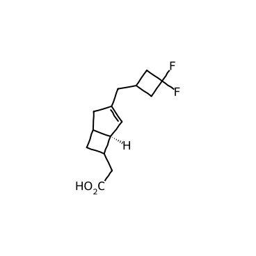 O=C(O)CC1CC2CC(CC3CC(F)(F)C3)=C[C@@H]12